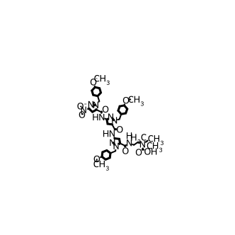 COc1ccc(Cn2nc(NC(=O)c3cc(NC(=O)c4cc([N+](=O)[O-])nn4Cc4ccc(OC)cc4)nn3Cc3ccc(OC)cc3)cc2C(=O)NCCN(C(=O)O)C(C)(C)C)cc1